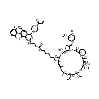 C=CC(=O)N1CCN(c2nc(NCCC(=O)NCCSCCC[C@@H]3/C=C(\C)C[C@H](C)C[C@H](OC)[C@@H](C)[C@@H](OC)C[C@@H](C)C(O)(O)C(=O)C(=O)N4CCCC[C@H]4C(=O)O[C@H](/C(C)=C/[C@@H]4CC[C@@H](O)[C@H](OC)C4)[C@H](C)[C@@H](O)CC3=O)nc3c(F)c(-c4c(O)cccc4F)c(Cl)cc23)CC1